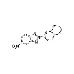 O=[N+]([O-])c1ccc2nn(-c3ccc4ccccc4c3)nc2c1